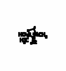 CC[C@H]1N(C)CC[C@]1(C)O